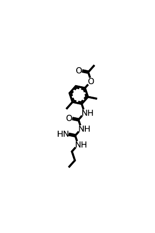 CCCNC(=N)NC(=O)Nc1c(C)ccc(OC(C)=O)c1C